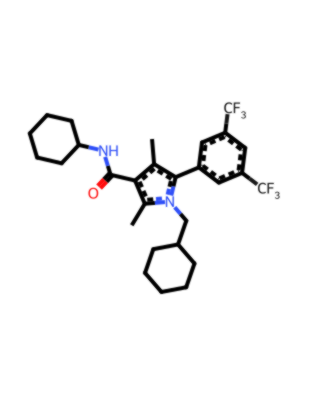 Cc1c(C(=O)NC2CCCCC2)c(C)n(CC2CCCCC2)c1-c1cc(C(F)(F)F)cc(C(F)(F)F)c1